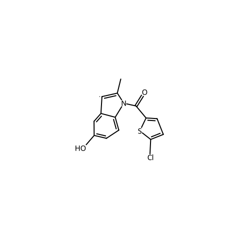 Cc1[c]c2cc(O)ccc2n1C(=O)c1ccc(Cl)s1